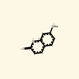 COc1ccc2c[c]c(=O)oc2c1